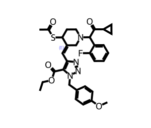 CCOC(=O)c1c(/C=C2\CN(C(C(=O)C3CC3)c3ccccc3F)CCC2SC(C)=O)nnn1Cc1ccc(OC)cc1